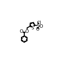 O=C(OCc1ccc(S(=O)(=O)Cl)s1)c1ccccc1